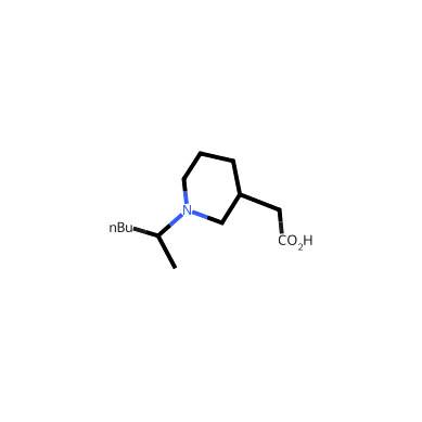 CCCCC(C)N1CCCC(CC(=O)O)C1